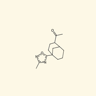 CC(=O)C1CCC2(c3nc(C)no3)CCCC1C2